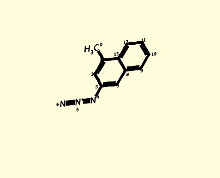 Cc1cc(N=[N+]=[N-])cc2ccccc12